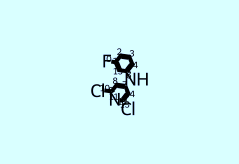 Fc1cccc(Nc2cc(Cl)nc(Cl)c2)c1